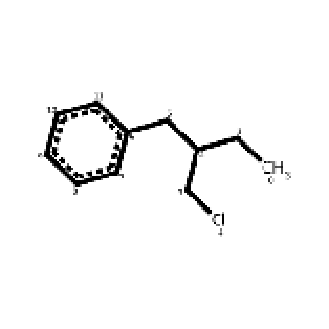 CCC(CCl)Cc1ccccc1